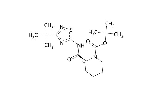 CC(C)(C)OC(=O)N1CCCC[C@H]1C(=O)Nc1nc(C(C)(C)C)ns1